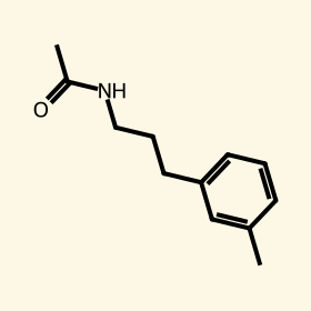 CC(=O)NCCCc1cccc(C)c1